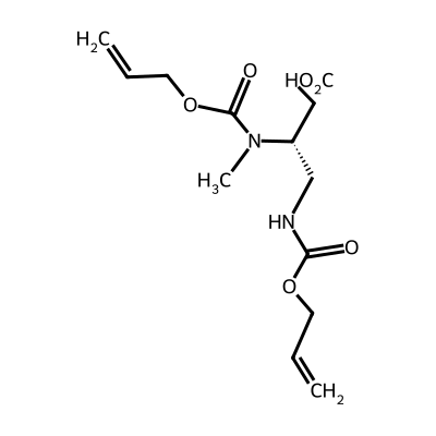 C=CCOC(=O)NC[C@@H](CC(=O)O)N(C)C(=O)OCC=C